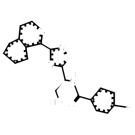 O=C(N[C@@H](CO)c1nc(-c2nccc3ccccc23)no1)c1ccc(F)cc1